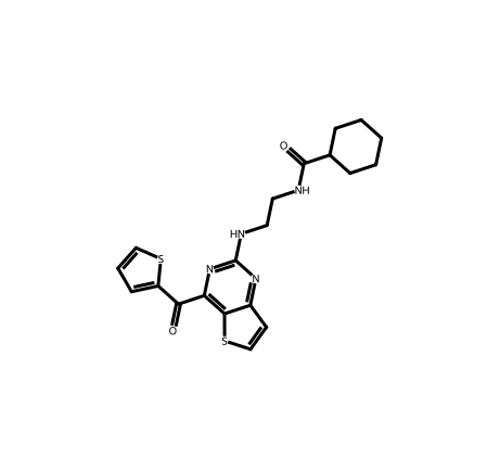 O=C(c1cccs1)c1nc(NCCNC(=O)C2CCCCC2)nc2ccsc12